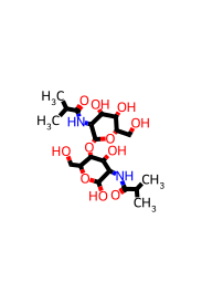 CC(C)C(=O)NC1C(O)OC(CO)C(OC2OC(CO)C(O)C(O)C2NC(=O)C(C)C)C1O